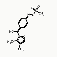 Cc1csc(C(C#N)=C2C=CC(=NOS(C)(=O)=O)C=C2)c1C